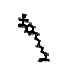 CC(=O)OCCOCCOC1=CC=C(C(=O)C(C)(C)Br)CC1